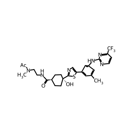 CC(=O)N(C)CCNC(=O)[C@H]1CC[C@@](O)(c2ncc(-c3cc(C)cc(Nc4nccc(C(F)(F)F)n4)c3)s2)CC1